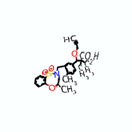 C#CCOC(c1ccc(C)c(CN2C[C@@H](C)Oc3ccccc3S2(=O)=O)c1)C(C)(C)C(=O)O